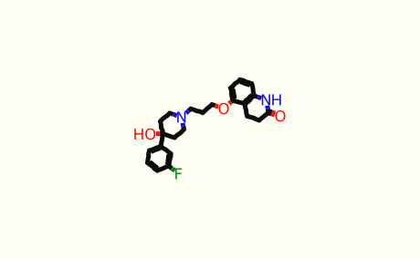 O=C1CCc2c(cccc2OCCCN2CCC(O)(c3cccc(F)c3)CC2)N1